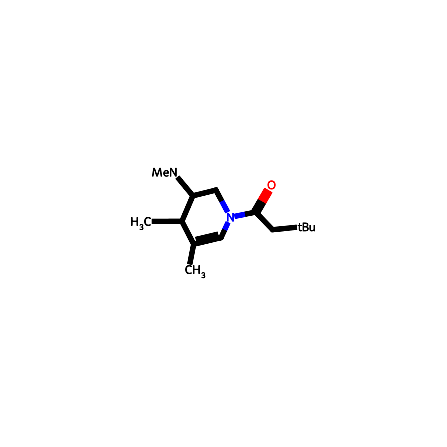 CNC1CN(C(=O)CC(C)(C)C)C=C(C)C1C